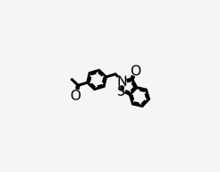 CC(=O)c1ccc(Cn2sc3ccccc3c2=O)cc1